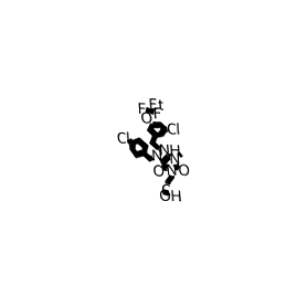 CCC(F)(F)Oc1cc(Cl)cc(CC2Nc3c(c(=O)n(CCCO)c(=O)n3C)N2Cc2ccc(Cl)cc2)c1